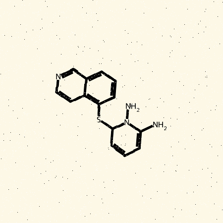 NC1=CC=CC(Sc2cccc3cnccc23)N1N